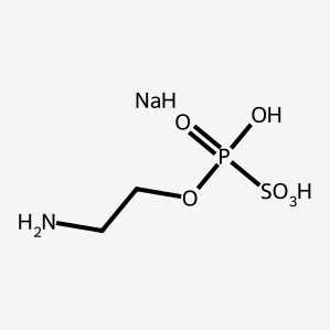 NCCOP(=O)(O)S(=O)(=O)O.[NaH]